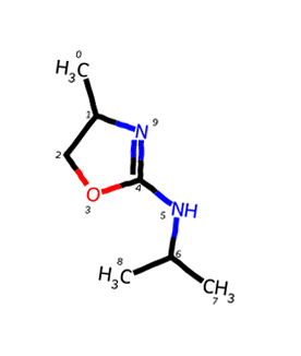 CC1COC(NC(C)C)=N1